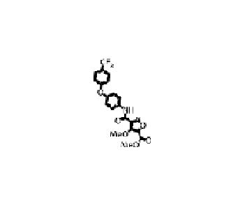 COC(=O)c1onc(C(=O)Nc2ccc(Oc3ccc(C(F)(F)F)cc3)cc2)c1OC